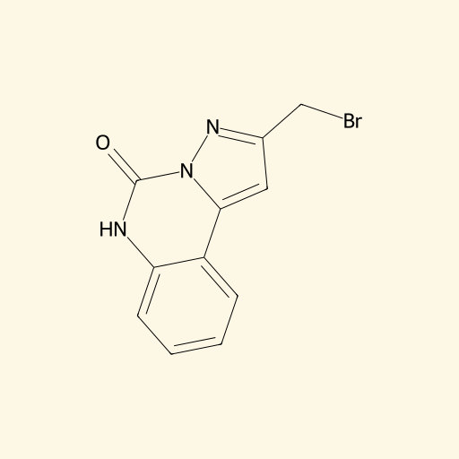 O=c1[nH]c2ccccc2c2cc(CBr)nn12